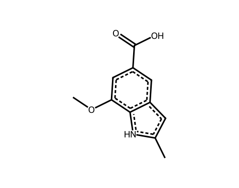 COc1cc(C(=O)O)cc2cc(C)[nH]c12